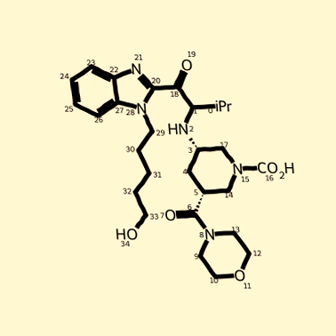 CC(C)C(N[C@H]1C[C@@H](C(=O)N2CCOCC2)CN(C(=O)O)C1)C(=O)c1nc2ccccc2n1CCCCCO